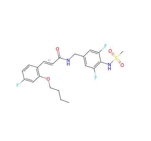 CCCCOc1cc(F)ccc1/C=C/C(=O)NCc1cc(F)c(NS(C)(=O)=O)c(F)c1